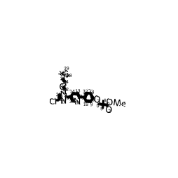 COC(=O)C(C)(C)COc1ccc(-c2ccc(-c3nc(Cl)cn3COCC[Si](C)(C)C)cn2)cc1